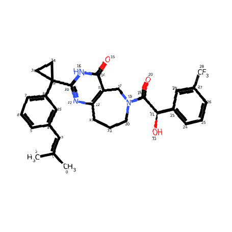 CC(C)=Cc1cccc(C2(c3nc4c(c(=O)[nH]3)CN(C(=O)[C@H](O)c3cccc(C(F)(F)F)c3)CCC4)CC2)c1